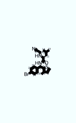 Cc1ccsc1[C@@H](NC(=O)[C@H](CC(C)C)NCC#N)c1ccc(Br)cc1